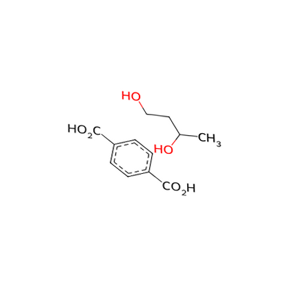 CC(O)CCO.O=C(O)c1ccc(C(=O)O)cc1